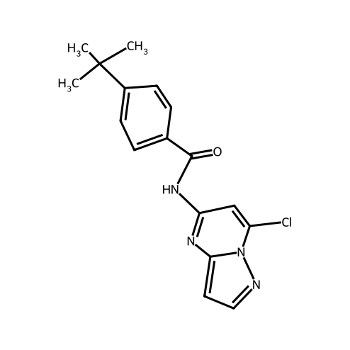 CC(C)(C)c1ccc(C(=O)Nc2cc(Cl)n3nccc3n2)cc1